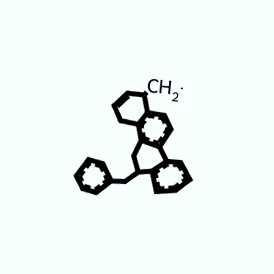 [CH2]C1C=CCc2c1ccc1c2CC(Cc2ccccc2)c2ccccc2-1